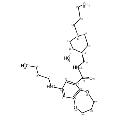 CCCCNc1cc2c(c(C(=O)NC[C@@H]3CCN(CCCC)C[C@H]3O)c1)OCCCO2